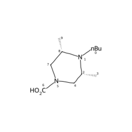 CCCCN1[C@H](C)CN(C(=O)O)C[C@@H]1C